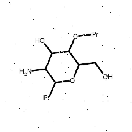 CC(C)OC1C(CO)OC(C(C)C)C(N)C1O